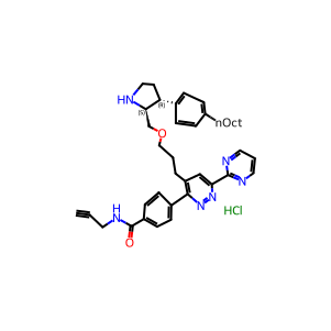 C#CCNC(=O)c1ccc(-c2nnc(-c3ncccn3)cc2CCCOC[C@H]2NCC[C@@H]2c2ccc(CCCCCCCC)cc2)cc1.Cl